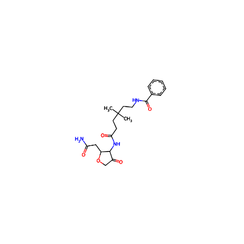 CC(C)(CCNC(=O)c1ccccc1)CCC(=O)NC1C(=O)COC1CC(N)=O